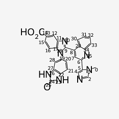 Cn1cncc1-c1cc(-c2nc3cc(C(=O)O)ccc3n2-c2ccc3[nH]c(=O)[nH]c3c2)c2ccccc2n1